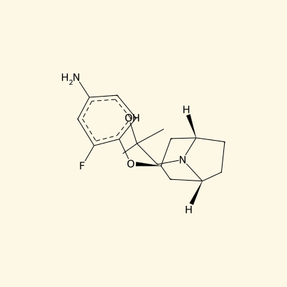 CC(C)(O)CN1[C@@H]2CC[C@H]1C[C@H](Oc1ccc(N)cc1F)C2